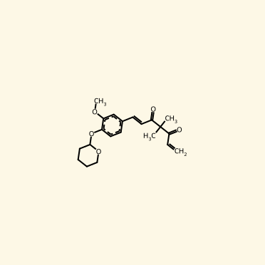 C=CC(=O)C(C)(C)C(=O)C=Cc1ccc(OC2CCCCO2)c(OC)c1